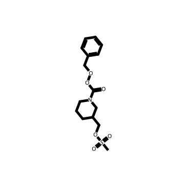 CS(=O)(=O)OCC1CCCN(C(=O)OOCc2ccccc2)C1